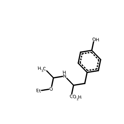 CCOC(C)NC(Cc1ccc(O)cc1)C(=O)O